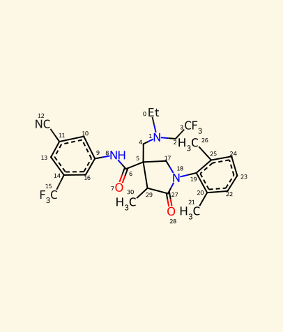 CCN(CC(F)(F)F)CC1(C(=O)Nc2cc(C#N)cc(C(F)(F)F)c2)CN(c2c(C)cccc2C)C(=O)C1C